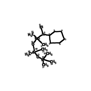 CCN(C1CCCCC1)[Si](C)(C)O[Si](C)(C)O[Si](C)(C)C